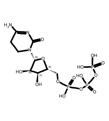 NC1=NC(=O)N([C@@H]2O[C@H](COP(=O)(O)OP(=O)(O)OP(=O)(O)O)[C@@H](O)[C@H]2O)CC1